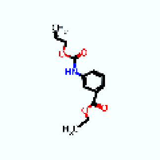 C=CCOC(=O)Nc1cccc(C(=O)OCC)c1